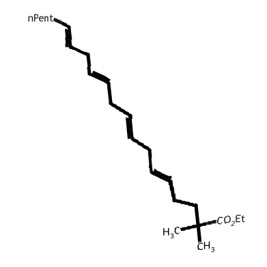 CCCCCC=CCC=CCC=CCC=CCCC(C)(C)C(=O)OCC